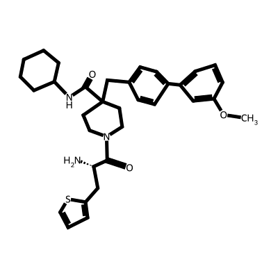 COc1cccc(-c2ccc(CC3(C(=O)NC4CCCCC4)CCN(C(=O)[C@@H](N)Cc4cccs4)CC3)cc2)c1